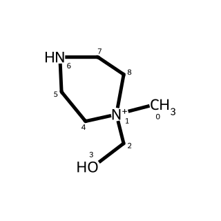 C[N+]1(CO)CCNCC1